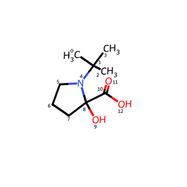 CC(C)(C)N1CCCC1(O)C(=O)O